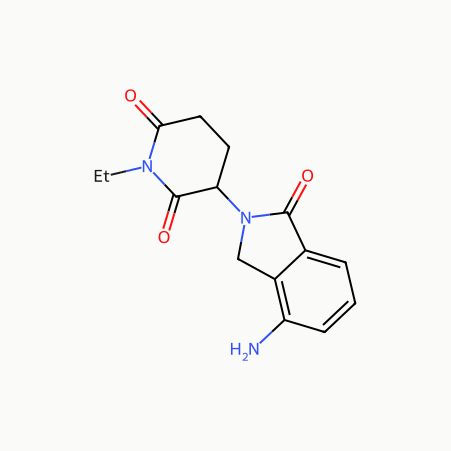 CCN1C(=O)CCC(N2Cc3c(N)cccc3C2=O)C1=O